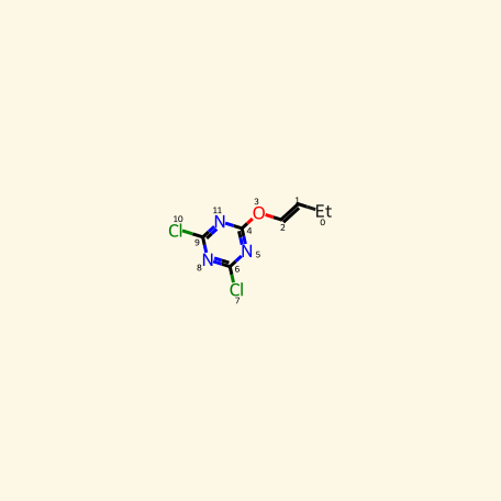 CC/C=C/Oc1nc(Cl)nc(Cl)n1